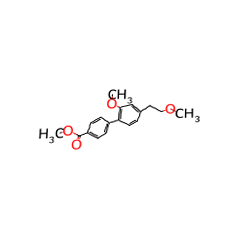 COCCc1ccc(-c2ccc(C(=O)OC)cc2)c(OC)c1